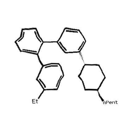 CCCCC[C@H]1CC[C@H](c2cccc(-c3ccccc3-c3cccc(CC)c3)c2)CC1